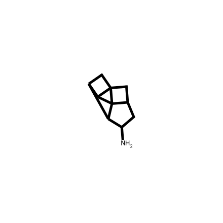 NC1CC2CC34CC5C1C23C54